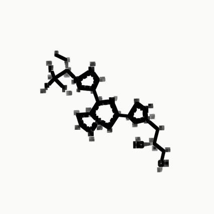 CC[C@H](n1cc(-c2nc(-c3cnn(C[C@@H](O)CO)c3)cn3nccc23)cn1)C(F)(F)F